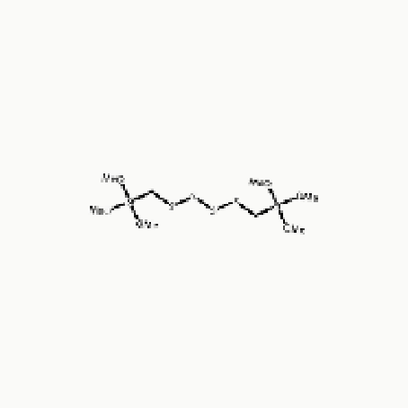 CO[Si](CSSSSC[Si](OC)(OC)OC)(OC)OC